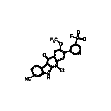 CCn1c2cc(-c3cncc(S(=O)(=O)F)c3)c(OC(F)(F)F)cc2c(=O)c2c3ccc(C#N)cc3[nH]c21